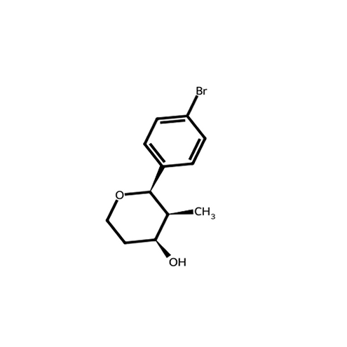 C[C@H]1[C@@H](O)CCO[C@H]1c1ccc(Br)cc1